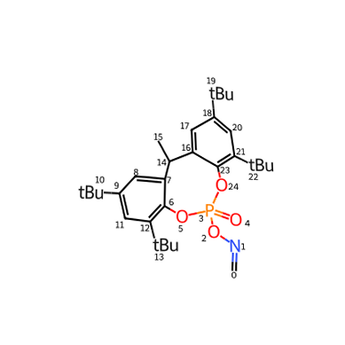 C=NOP1(=O)Oc2c(cc(C(C)(C)C)cc2C(C)(C)C)C(C)c2cc(C(C)(C)C)cc(C(C)(C)C)c2O1